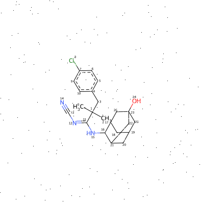 CC(C)(Cc1ccc(Cl)cc1)/C(=N\C#N)NC1C2CC3CC1CC(O)(C3)C2